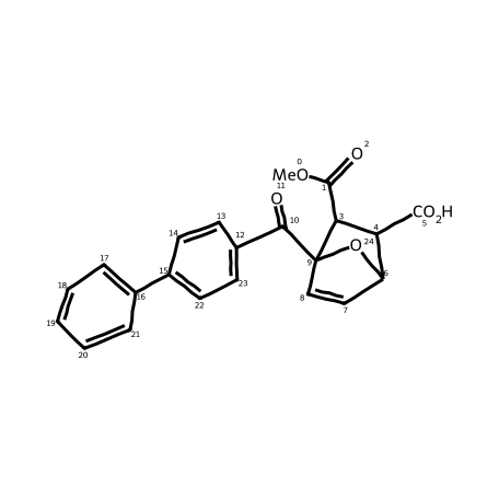 COC(=O)C1C(C(=O)O)C2C=CC1(C(=O)c1ccc(-c3ccccc3)cc1)O2